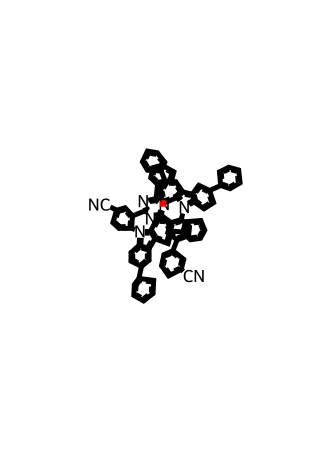 N#Cc1cccc(-c2ccc(-n3c4ccc(-c5ccccc5)cc4c4cc(-c5ccccc5)ccc43)c(-c3nc(-c4ccccc4)nc(-c4cc(C#N)ccc4-n4c5ccc(-c6ccccc6)cc5c5cc(-c6ccccc6)ccc54)n3)c2)c1